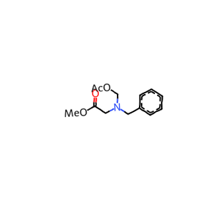 COC(=O)CN(COC(C)=O)Cc1ccccc1